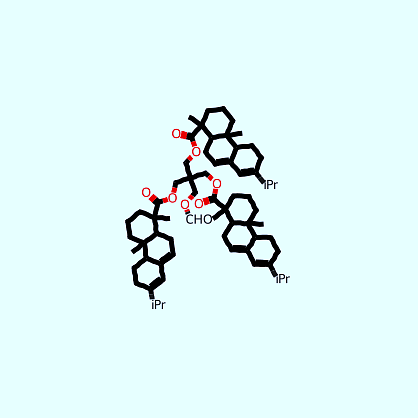 CC(C)C1=CC2=CCC3C(C)(C(=O)OCC(COC=O)(COC(=O)C4(C)CCCC5(C)C6CCC(C(C)C)=CC6=CCC45)COC(=O)C4(C)CCCC5(C)C6CCC(C(C)C)=CC6=CCC45)CCCC3(C)C2CC1